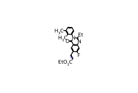 CCOC(=O)/C=C/c1cc2c(=O)n(-c3cccc(C)c3C)c(CC)nc2cc1F